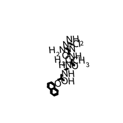 CC(C)(NC(=O)c1nc(Cl)c(N)nc1N)C(=O)NCCNCC(O)COc1cccc2ccccc12